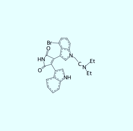 CCN(CC)CCn1cc(C2=C(c3c[nH]c4ccccc34)C(=O)NC2=O)c2c(Br)cccc21